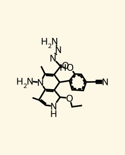 CCOC1NC=C(C)C2=C1C(c1ccc(C#N)cc1O)C(C(=O)N=NN)=C(C)N2N